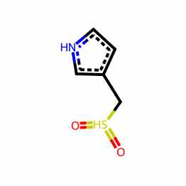 O=[SH](=O)Cc1cc[nH]c1